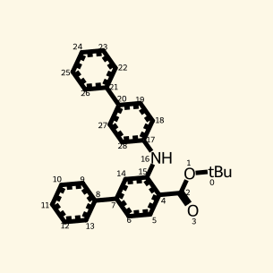 CC(C)(C)OC(=O)c1ccc(-c2ccccc2)cc1Nc1ccc(-c2ccccc2)cc1